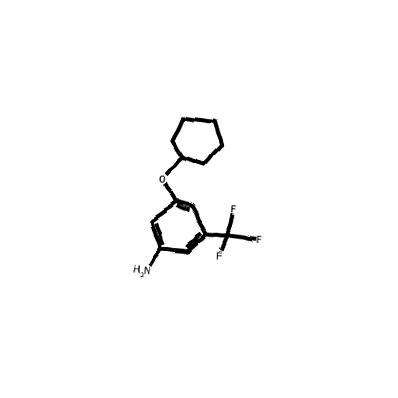 Nc1cc(OC2CCCCC2)cc(C(F)(F)F)c1